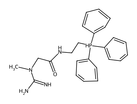 CN(CC(=O)NCC[PH](c1ccccc1)(c1ccccc1)c1ccccc1)C(=N)N